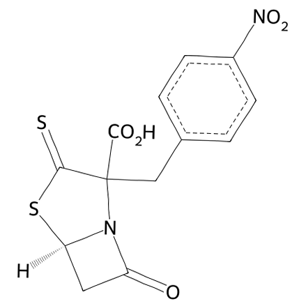 O=C1C[C@H]2SC(=S)C(Cc3ccc([N+](=O)[O-])cc3)(C(=O)O)N12